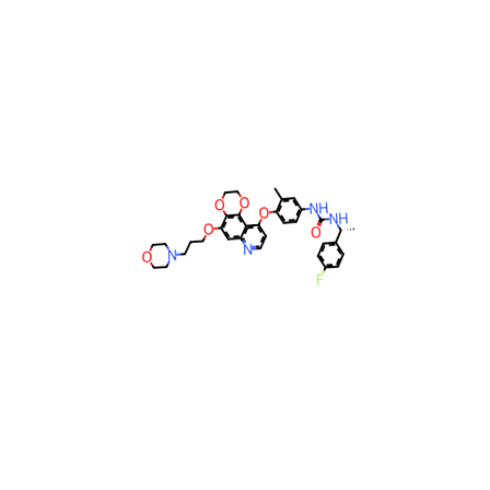 Cc1cc(NC(=O)N[C@H](C)c2ccc(F)cc2)ccc1Oc1ccnc2cc(OCCCN3CCOCC3)c3c(c12)OCCO3